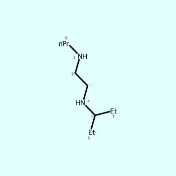 CCCNCCNC(CC)CC